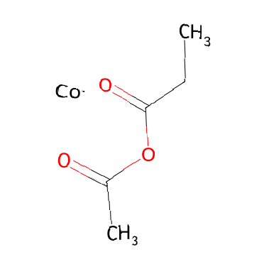 CCC(=O)OC(C)=O.[Co]